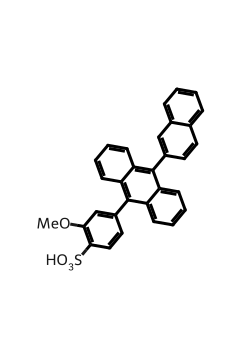 COc1cc(-c2c3ccccc3c(-c3ccc4ccccc4c3)c3ccccc23)ccc1S(=O)(=O)O